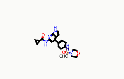 O=C[SH](=O)(NC1CC=C(c2cc(NC(=O)C3CC3)nc3[nH]ccc23)CC1)N1CCOCC1